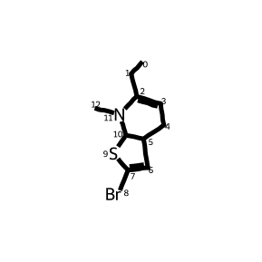 CCC1=CCC2C=C(Br)SC2N1C